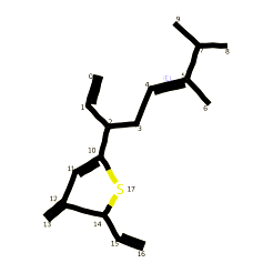 C=CC(C/C=C(\C)C(C)C)C1=CC(=C)C(C=C)S1